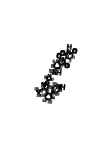 O=C1CCC(N2C(=O)c3ccc(NC[C@H]4C[C@H](n5cc(-c6ccccc6N6CCNCC6)c(C6CC6)n5)C4)cc3C2=O)C(=O)N1